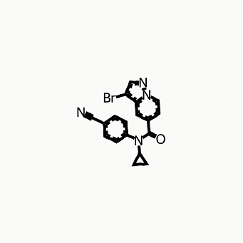 N#Cc1ccc(N(C(=O)c2ccn3ncc(Br)c3c2)C2CC2)cc1